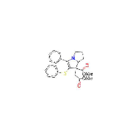 COC(=O)CC1(C(=O)OC)C(Sc2ccccc2)=C(c2ccccc2)N2CCCC21